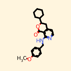 COc1ccc(CNc2nccc3c2C(=O)OC(C2CCCCC2)C3)cc1